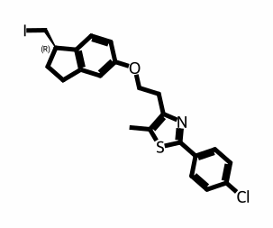 Cc1sc(-c2ccc(Cl)cc2)nc1CCOc1ccc2c(c1)CC[C@H]2CI